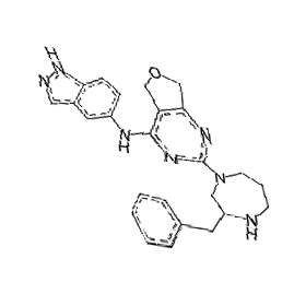 c1ccc(CC2CN(c3nc4c(c(Nc5ccc6[nH]ncc6c5)n3)COC4)CCCN2)cc1